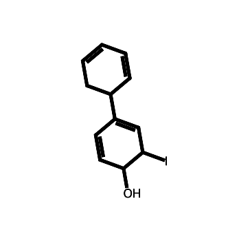 OC1C=CC(C2C=CC=CC2)=CC1I